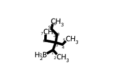 BC(C)C(CC)(CC)CCC